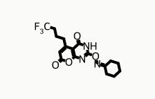 O=c1cc(CCCC(F)(F)F)c2c(=O)[nH]c(ON=C3CCCCC3)nc2o1